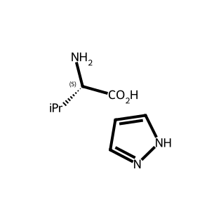 CC(C)[C@H](N)C(=O)O.c1cn[nH]c1